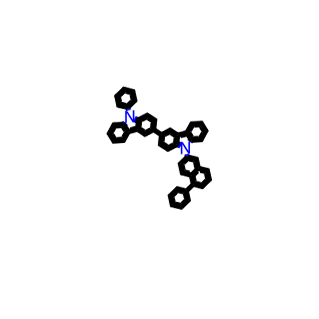 c1ccc(-c2cccc3cc(-n4c5ccccc5c5cc(-c6ccc7c(c6)c6ccccc6n7-c6ccccc6)ccc54)ccc23)cc1